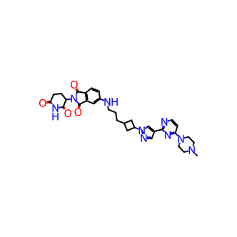 CN1CCN(c2ccnc(-c3cnn(C4CC(CCCNc5ccc6c(c5)C(=O)N(C5CCC(=O)NC5=O)C6=O)C4)c3)n2)CC1